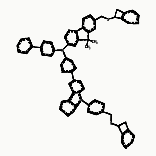 CC1(C)c2cc(CSC3Cc4ccccc43)ccc2-c2ccc(N(c3ccc(-c4ccccc4)cc3)c3ccc(-c4ccc5c(c4)c4ccccc4n5-c4ccc(CSC5Cc6ccccc65)cc4)cc3)cc21